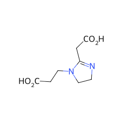 O=C(O)CCN1CCN=C1CC(=O)O